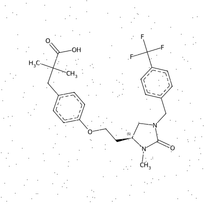 CN1C(=O)N(Cc2ccc(C(F)(F)F)cc2)C[C@@H]1CCOc1ccc(CC(C)(C)C(=O)O)cc1